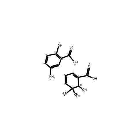 CC1(N)C=CC=C(C(=O)O)C1O.Nc1ccc(O)c(C(=O)O)c1